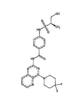 C[C@H](CO)S(=O)(=O)Nc1ccc(C(=O)Nc2cc3cccnc3c(N3CCC(F)(F)CC3)n2)cc1